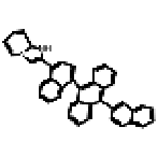 C1=CC2NC(c3ccc(-c4c5ccccc5c(-c5ccc6ccccc6c5)c5ccccc45)c4ccccc34)=CN2C=C1